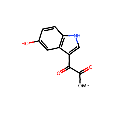 COC(=O)C(=O)c1c[nH]c2ccc(O)cc12